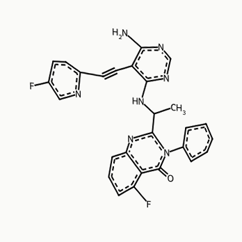 CC(Nc1ncnc(N)c1C#Cc1ccc(F)cn1)c1nc2cccc(F)c2c(=O)n1-c1ccccc1